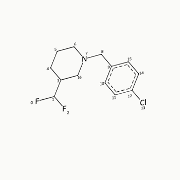 FC(F)C1CCCN(Cc2ccc(Cl)cc2)C1